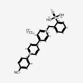 N#Cc1ccc(-[n+]2ccc(-c3cc[n+](Cc4ccccc4P(=O)(O)O)cc3)cc2)cc1.[Cl-].[Cl-]